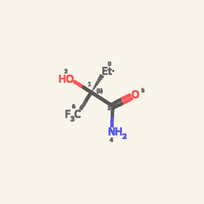 C[CH][C@](O)(C(N)=O)C(F)(F)F